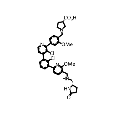 COc1cc(-c2nccc(-c3cccc(-c4ccc(CNC[C@@H]5CCC(=O)N5)c(OC)n4)c3Cl)c2Cl)ccc1CN1CC[C@@H](C(=O)O)C1